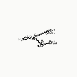 CCCCCCCCC(CCCCCCCC)OC(=O)CCCCCCCOC(=O)[C@@H]1C[C@H](OC(=O)CC(=O)N2CCN(C)CC2)CN1CCCCCCC(C)(C)C(=O)OCCCC(CCCCC)CCCCC